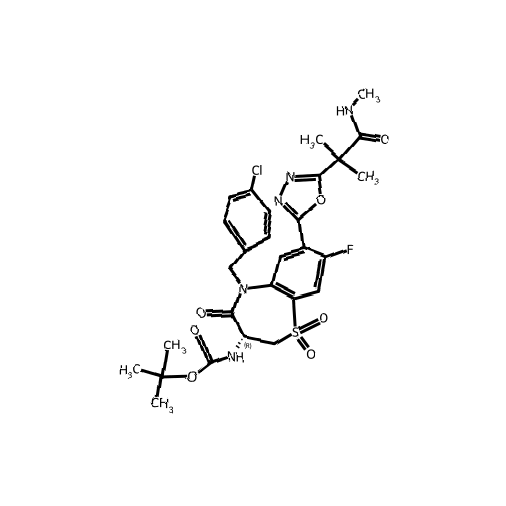 CNC(=O)C(C)(C)c1nnc(-c2cc3c(cc2F)S(=O)(=O)C[C@H](NC(=O)OC(C)(C)C)C(=O)N3Cc2ccc(Cl)cc2)o1